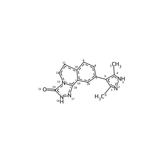 Cc1n[nH]c(C)c1-c1ccc2ccn3c(=O)[nH]nc3c2c1